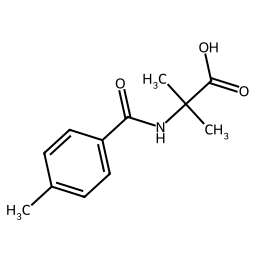 Cc1ccc(C(=O)NC(C)(C)C(=O)O)cc1